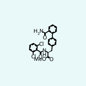 COC(=O)[C@H](Cc1ccc(-c2ccccc2C(N)=O)cc1)NC(=O)c1c(Cl)cccc1Cl